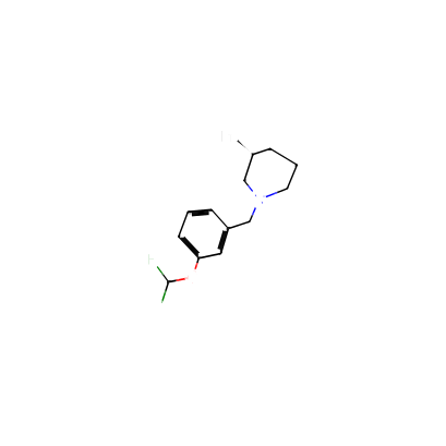 CC(C)[C@H]1CCCN(Cc2cccc(OC(F)F)c2)C1